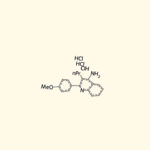 CCCc1c(-c2ccc(OC)cc2)nc2ccccc2c1N.Cl.Cl.Cl